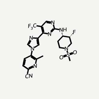 Cc1nc(C#N)ccc1-n1cnc(-c2nc(N[C@H]3CCN(S(C)(=O)=O)C[C@H]3F)ncc2C(F)(F)F)c1